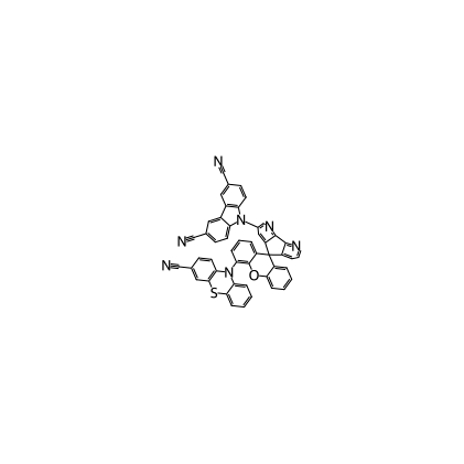 N#Cc1ccc2c(c1)Sc1ccccc1N2c1cccc2c1Oc1ccccc1C21c2cccnc2-c2ncc(-n3c4ccc(C#N)cc4c4cc(C#N)ccc43)cc21